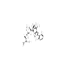 CC1(C)[C@H]2CC[C@@]1(c1cncc(-c3nc([C@H](O)C(F)F)co3)n1)c1nnc(-c3c(F)cccc3F)cc12